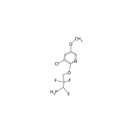 COc1cnc(OCC(F)(F)C(F)P)c(Cl)c1